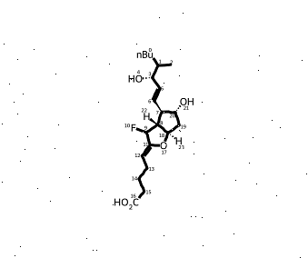 CCCCC(C)[C@@H](O)/C=C/[C@@H]1[C@H]2C(F)/C(=C/CCCC(=O)O)O[C@@H]2C[C@H]1O